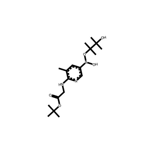 Cc1cc(B(O)OC(C)(C)C(C)(C)O)cnc1NCC(=O)OC(C)(C)C